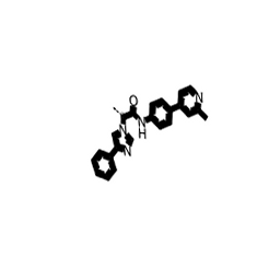 Cc1cc(-c2ccc(NC(=O)[C@@H](C)n3cnc(-c4ccccc4)c3)cc2)ccn1